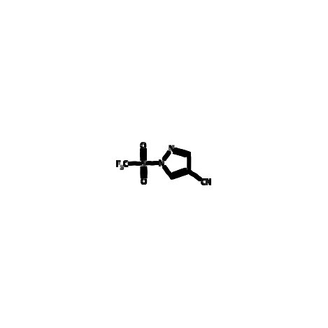 N#Cc1cnn(S(=O)(=O)C(F)(F)F)c1